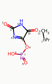 CCCC.O=C1N=C(O[PH](=O)O)C(=O)N1